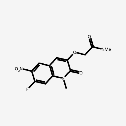 CNC(=O)COc1cc2cc([N+](=O)[O-])c(F)cc2n(C)c1=O